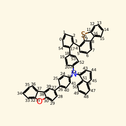 c1ccc(-c2cccc3c2sc2ccccc23)c(-c2ccc(N(c3ccc(-c4ccc5oc6ccccc6c5c4)cc3)c3cccc4ccccc34)cc2)c1